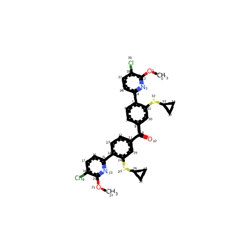 COc1nc(-c2ccc(C(=O)c3ccc(-c4ccc(Cl)c(OC)n4)c(SC4CC4)c3)cc2SC2CC2)ccc1Cl